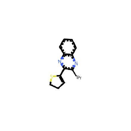 CC(C)c1nc2ccccc2nc1C1=CCCS1